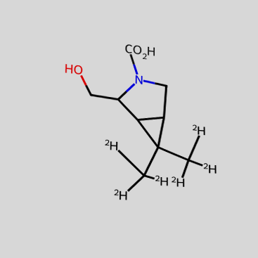 [2H]C([2H])([2H])C1(C([2H])([2H])[2H])C2CN(C(=O)O)C(CO)C21